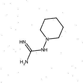 N=C(N)NN1CCCCC1